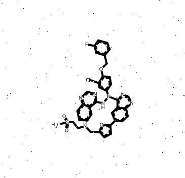 CS(=O)(=O)CCNCc1ccc(-c2ccc3ncnc(N(Nc4ncnc5ccccc45)c4ccc(OCc5cccc(F)c5)c(Cl)c4)c3c2)o1